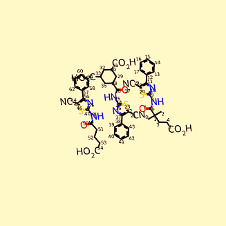 CC(C)(CCC(=O)O)C(=O)Nc1nc(-c2ccccc2)c(C#N)s1.N#Cc1sc(NC(=O)C2CC(C(=O)O)CC(C(=O)O)C2)nc1-c1ccccc1.N#Cc1sc(NC(=O)CCCC(=O)O)nc1-c1ccccc1